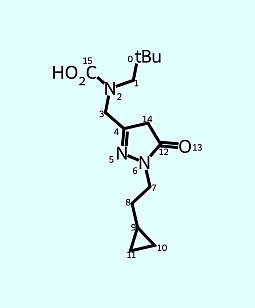 CC(C)(C)CN(CC1=NN(CCC2CC2)C(=O)C1)C(=O)O